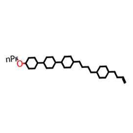 C=CCCC1CCC(CCCCC2CCC(C3CCC(C4CCC(OCCC)CC4)CC3)CC2)CC1